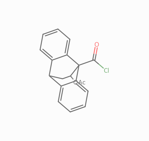 CC(=O)OC1CC2c3ccccc3C1(C(=O)Cl)c1ccccc12